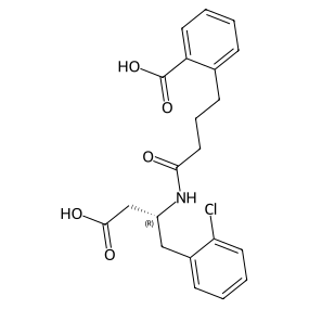 O=C(O)C[C@@H](Cc1ccccc1Cl)NC(=O)CCCc1ccccc1C(=O)O